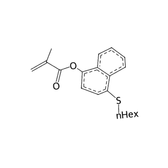 C=C(C)C(=O)Oc1ccc(SCCCCCC)c2ccccc12